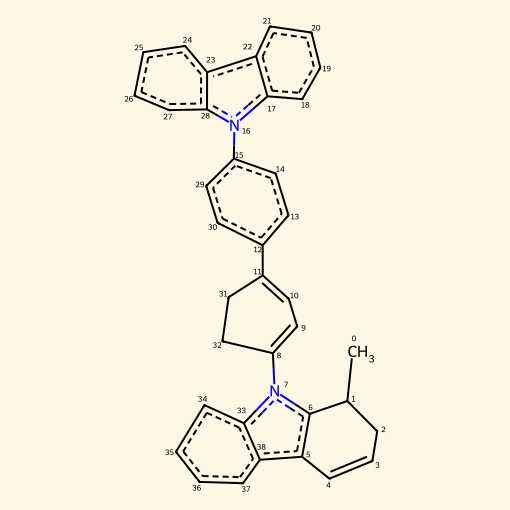 CC1CC=Cc2c1n(C1=CC=C(c3ccc(-n4c5ccccc5c5ccccc54)cc3)CC1)c1ccccc21